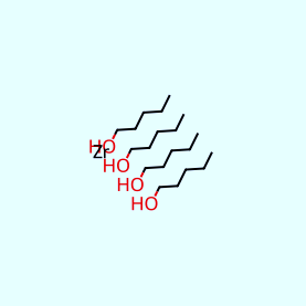 CCCCCO.CCCCCO.CCCCCO.CCCCCO.[Zr]